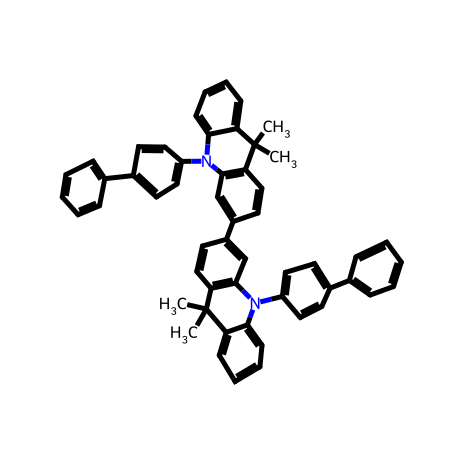 CC1(C)c2ccccc2N(c2ccc(-c3ccccc3)cc2)c2cc(-c3ccc4c(c3)N(c3ccc(-c5ccccc5)cc3)c3ccccc3C4(C)C)ccc21